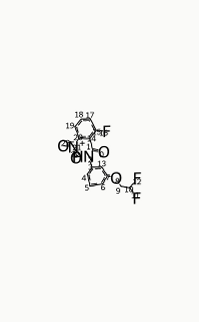 O=C(Nc1cccc(OCC(F)F)c1)c1c(F)cccc1[N+](=O)[O-]